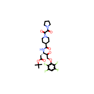 CC(C)(C)OC(=O)C[C@H](NC(=O)C1CCN(C(=O)C(=O)N2CCCC2)CC1)C(=O)COc1c(F)c(F)cc(F)c1F